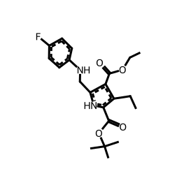 CCOC(=O)c1c(CNc2ccc(F)cc2)[nH]c(C(=O)OC(C)(C)C)c1CC